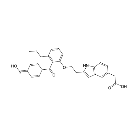 CCCc1cccc(OCCc2cc3cc(CC(=O)O)ccc3[nH]2)c1C(=O)C1C=CC(=NO)C=C1